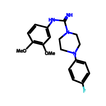 COc1ccc(NC(=N)N2CCN(c3ccc(F)cc3)CC2)cc1OC